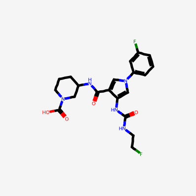 O=C(NCCF)Nc1cn(-c2cccc(F)c2)cc1C(=O)NC1CCCN(C(=O)O)C1